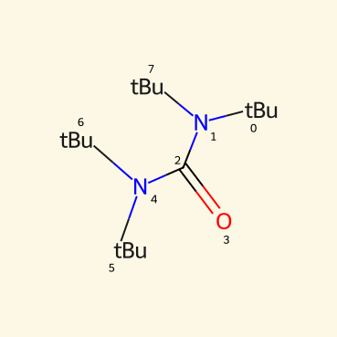 CC(C)(C)N(C(=O)N(C(C)(C)C)C(C)(C)C)C(C)(C)C